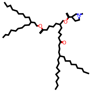 C=C(CCCCC(CCCCC(=O)CCCC(CCCCCCCCC)CCCCCCCCC)COC(=C)C1CCN(C)C1)OCCC(CCCCCCCCC)CCCCCCCCC